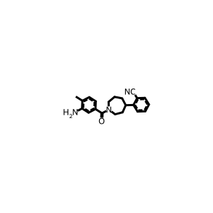 Cc1ccc(C(=O)N2CCCC(c3ccccc3C#N)CC2)cc1N